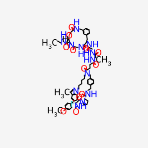 CCCNC(=O)C1[C@@H]2CCN1C(=O)CNC(=O)[C@@H](NC(=O)CNC(=O)[C@H](C)NC(=O)CCC(=O)N(CCCCCCn1cc(C)c3cc(F)ccc31)Cc1ccc(CCNC(=O)[C@@H]3CCCN3C(=O)[C@H](Cc3ccc(OC)cc3)NC=O)cc1)Cc1cccc(c1)CNC(=O)CO2